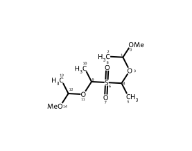 COC(C)OC(C)S(=O)(=O)C(C)OC(C)OC